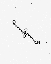 N#COCCCCCCN1C(=O)N(CCCCCCN=C=O)C1=O